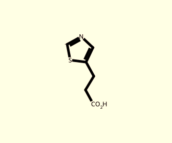 O=C(O)CCc1cn[c]s1